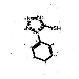 Sc1nnnn1C1=CCCC=C1